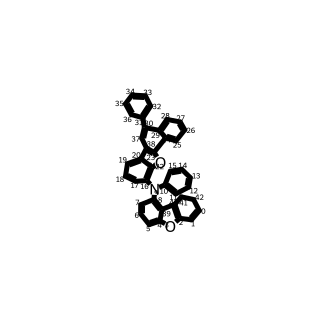 C1=Cc2oc3cccc(N(c4ccccc4)c4cccc5c4oc4c6ccccc6c(-c6ccccc6)cc54)c3c2CC1